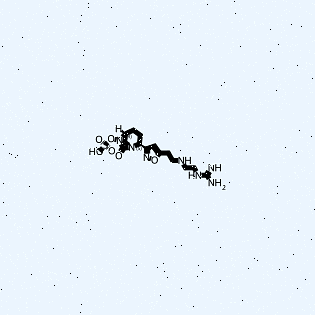 N=C(N)NCCNCCc1cc([C@@H]2CC[C@@H]3CN2C(=O)N3OS(=O)(=O)O)no1